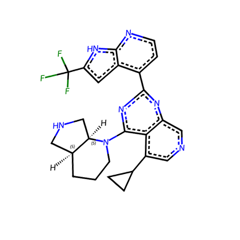 FC(F)(F)c1cc2c(-c3nc(N4CCC[C@H]5CNC[C@H]54)c4c(C5CC5)cncc4n3)ccnc2[nH]1